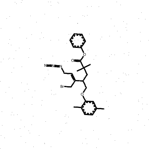 Cc1ccc(C)c(OCC(CC(C)(C)C(=O)Oc2ccccc2)C(=CCN=[N+]=[N-])CBr)c1